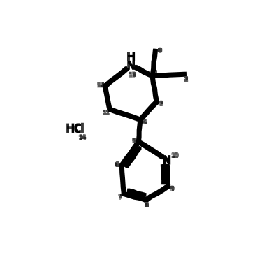 CC1(C)CC(c2ccccn2)CCN1.Cl